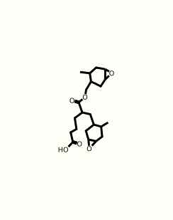 CC1CC2OC2CC1COC(=O)C(CCCC(=O)O)CC1CC2OC2CC1C